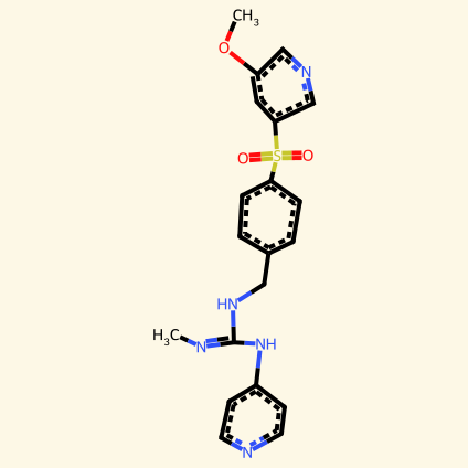 C/N=C(\NCc1ccc(S(=O)(=O)c2cncc(OC)c2)cc1)Nc1ccncc1